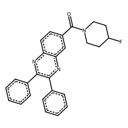 O=C(c1ccc2nc(-c3ccccc3)c(-c3ccccc3)nc2c1)N1CCC(F)CC1